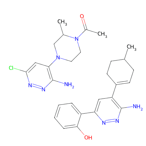 CC(=O)N1CCN(c2cc(Cl)nnc2N)CC1C.CC1CC=C(c2cc(-c3ccccc3O)nnc2N)CC1